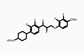 CCCCCC1CCC(c2ccc(C(F)C(F)COc3ccc(OC)c(F)c3F)c(F)c2F)CC1